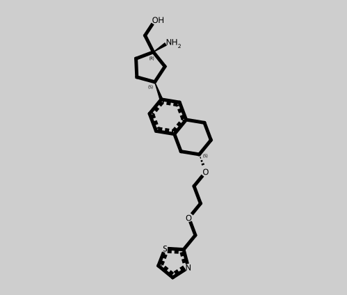 N[C@]1(CO)CC[C@H](c2ccc3c(c2)CC[C@H](OCCOCc2nccs2)C3)C1